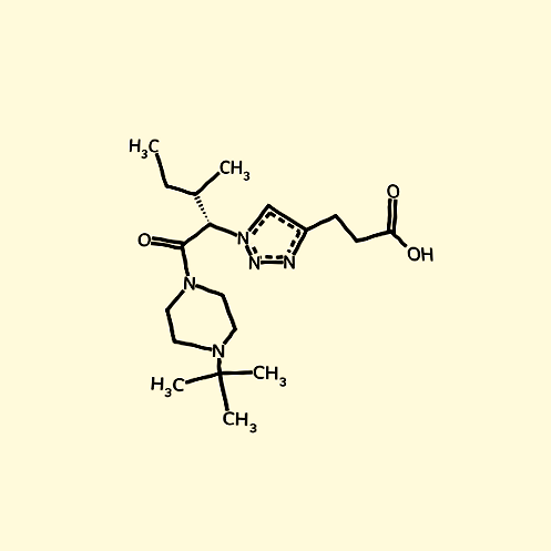 CCC(C)[C@@H](C(=O)N1CCN(C(C)(C)C)CC1)n1cc(CCC(=O)O)nn1